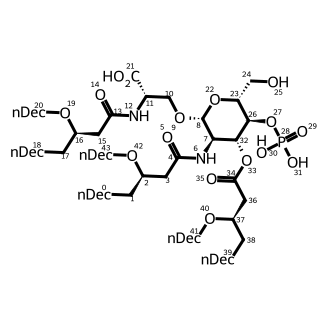 CCCCCCCCCCC[C@H](CC(=O)N[C@H]1[C@H](OC[C@H](NC(=O)C[C@@H](CCCCCCCCCCC)OCCCCCCCCCC)C(=O)O)O[C@H](CO)[C@@H](OP(=O)(O)O)[C@@H]1OC(=O)C[C@@H](CCCCCCCCCCC)OCCCCCCCCCC)OCCCCCCCCCC